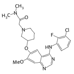 COc1cc2ncnc(Nc3cccc(Cl)c3F)c2cc1OC1CCCN(CC(=O)N(C)C)C1